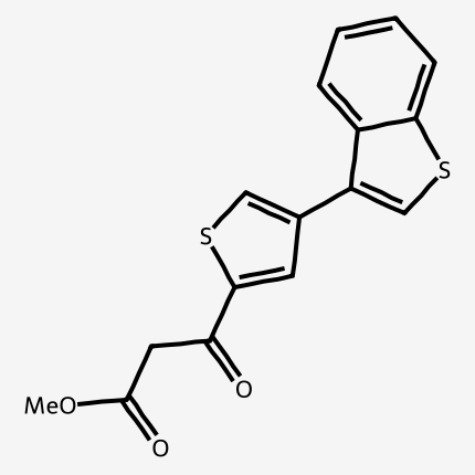 COC(=O)CC(=O)c1cc(-c2csc3ccccc23)cs1